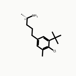 Cc1cc(CCC[C@H](C)N)cc(C(C)(C)C)c1Cl